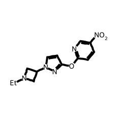 CCN1CC(n2ccc(Oc3ccc([N+](=O)[O-])cn3)n2)C1